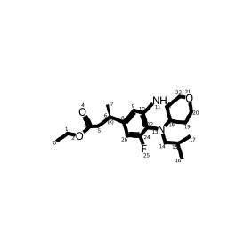 CCOC(=O)C[C@@H](C)c1cc(N)c(N(CC(C)C)C2CCOCC2)c(F)c1